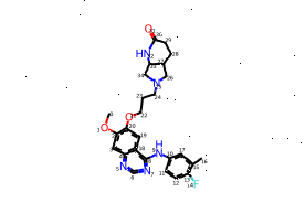 COc1cc2ncnc(Nc3ccc(F)c(C)c3)c2cc1OCCCN1CC2CCC(=O)NC2C1